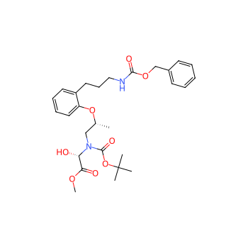 COC(=O)[C@H](O)N(C[C@@H](C)Oc1ccccc1CCCNC(=O)OCc1ccccc1)C(=O)OC(C)(C)C